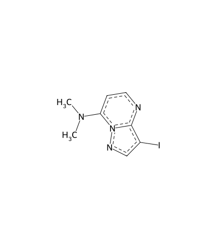 CN(C)c1ccnc2c(I)cnn12